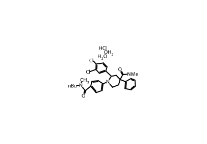 CCCCN(C)C(=O)c1ccc(N2CCC(C(=O)NC)(c3ccccc3)CC2c2ccc(Cl)c(Cl)c2)cc1.Cl.O.O